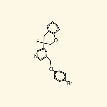 FC1(c2cncc(COc3ccc(Br)cc3)c2)COc2ccccc2C1